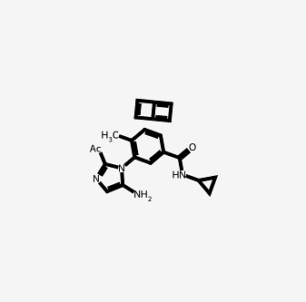 CC(=O)c1ncc(N)n1-c1cc(C(=O)NC2CC2)ccc1C.c1cc2ccc1-2